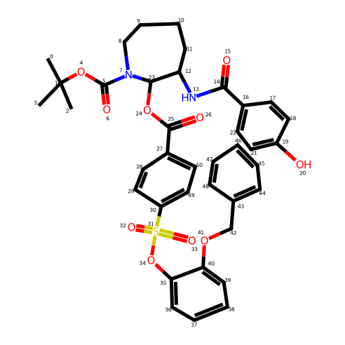 CC(C)(C)OC(=O)N1CCCCC(NC(=O)c2ccc(O)cc2)C1OC(=O)c1ccc(S(=O)(=O)Oc2ccccc2OCc2ccccc2)cc1